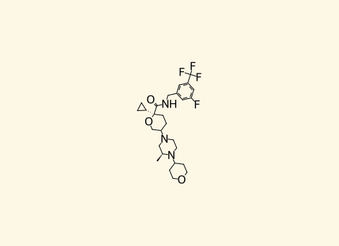 C[C@H]1CN(C2CC[C@@](C(=O)NCc3cc(F)cc(C(F)(F)F)c3)(C3CC3)OC2)CCN1C1CCOCC1